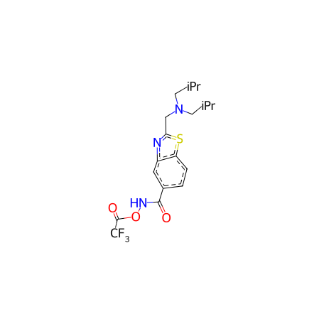 CC(C)CN(Cc1nc2cc(C(=O)NOC(=O)C(F)(F)F)ccc2s1)CC(C)C